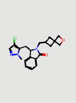 Cn1ncc(Cl)c1CC1c2ccccc2C(=O)N1CC1CC2(COC2)C1